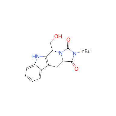 CCCCN1C(=O)C2Cc3c([nH]c4ccccc34)C(CO)N2C1=O